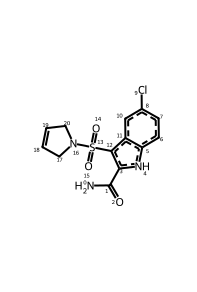 NC(=O)c1[nH]c2ccc(Cl)cc2c1S(=O)(=O)N1CC=CC1